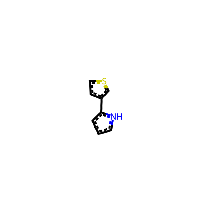 c1c[nH]c(-c2ccsc2)c1